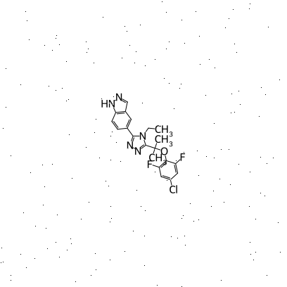 CCn1c(-c2ccc3[nH]ncc3c2)nnc1C(C)(C)Oc1c(F)cc(Cl)cc1F